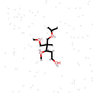 COCC(C)(COC(C)C)C(CCO)OC